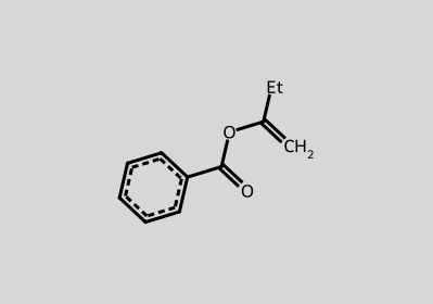 C=C(CC)OC(=O)c1ccccc1